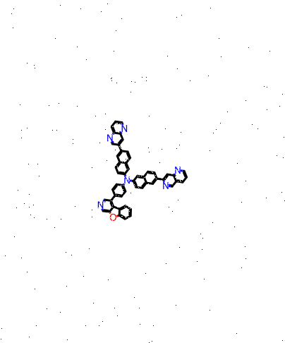 c1cnc2cc(-c3ccc4cc(N(c5ccc(-c6cncc7oc8ccccc8c67)cc5)c5ccc6cc(-c7cnc8cccnc8c7)ccc6c5)ccc4c3)ncc2c1